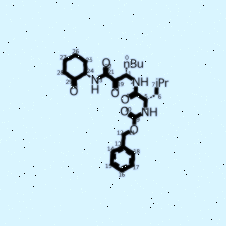 CCCC[C@H](NC(=O)[C@H](CC(C)C)NC(=O)OCc1ccccc1)C(=O)C(=O)N[C@H]1CCCCC1=O